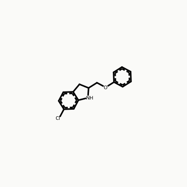 Clc1ccc2c(c1)NC(COc1ccccc1)C2